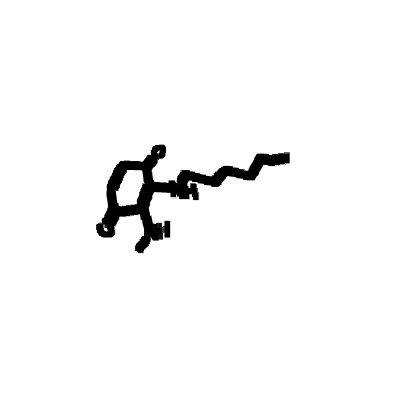 CCCCCCNC1=C(NC)C(=O)C=CC1=O